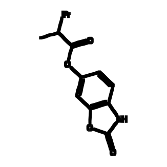 CC(C)C(C)C(=O)Oc1ccc2[nH]c(=O)oc2c1